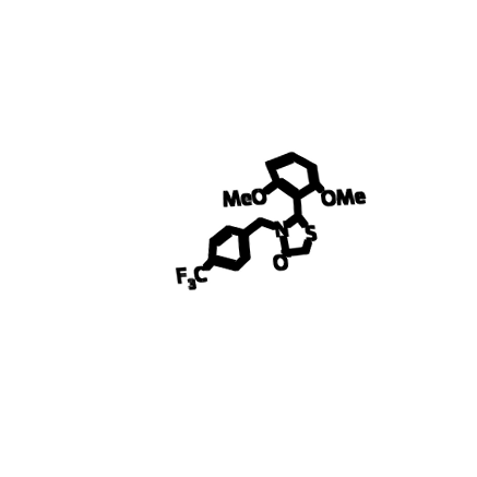 COc1cccc(OC)c1C1SCC(=O)N1Cc1ccc(C(F)(F)F)cc1